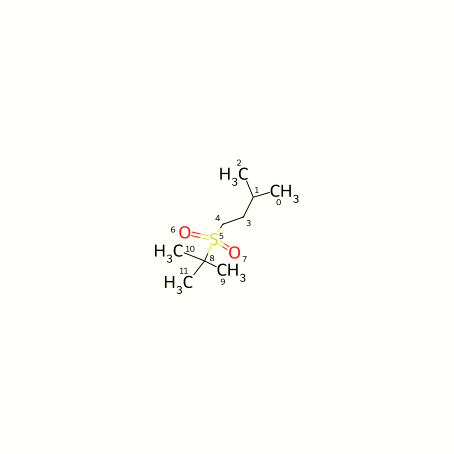 CC(C)CCS(=O)(=O)C(C)(C)C